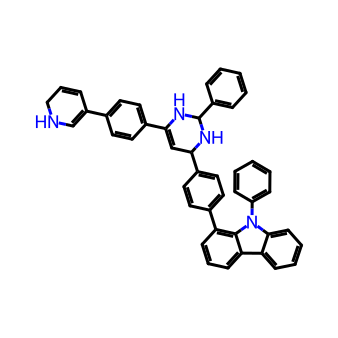 C1=CC(c2ccc(C3=CC(c4ccc(-c5cccc6c7ccccc7n(-c7ccccc7)c56)cc4)NC(c4ccccc4)N3)cc2)=CNC1